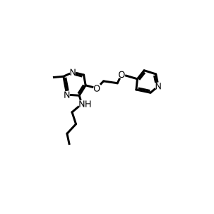 CCCCNc1nc(C)ncc1OCCOc1ccncc1